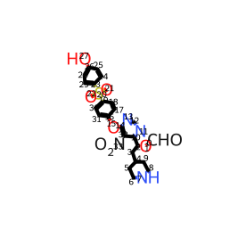 O=COC(CC1CCNCC1)c1ncnc(Oc2ccc(S(=O)(=O)c3ccc(O)cc3)cc2)c1[N+](=O)[O-]